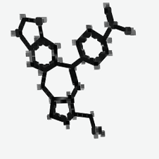 CCc1ncc2n1N=C(c1ccc([N+](=O)[O-])cc1)c1cc3c(cc1C2)OCO3